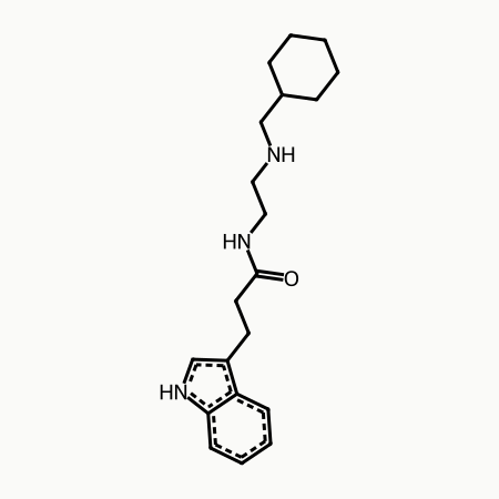 O=C(CCc1c[nH]c2ccccc12)NCCNCC1CCCCC1